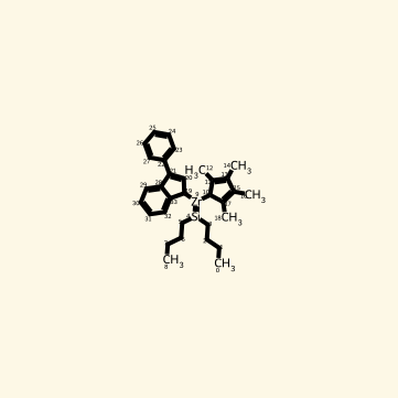 CCCC[Si](CCCC)=[Zr]([CH]1C(C)=C(C)C(C)=C1C)[CH]1C=C(c2ccccc2)c2ccccc21